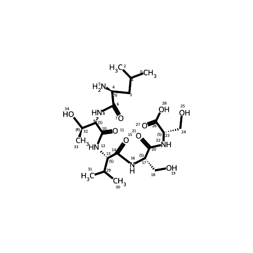 CC(C)C[C@H](N)C(=O)N[C@H](C(=O)N[C@H](C(=O)N[C@@H](CO)C(=O)N[C@@H](CO)C(=O)O)C(C)C)[C@@H](C)O